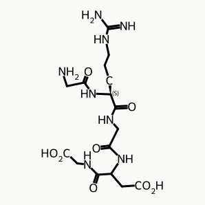 N=C(N)NCCC[C@H](NC(=O)CN)C(=O)NCC(=O)NC(CC(=O)O)C(=O)NCC(=O)O